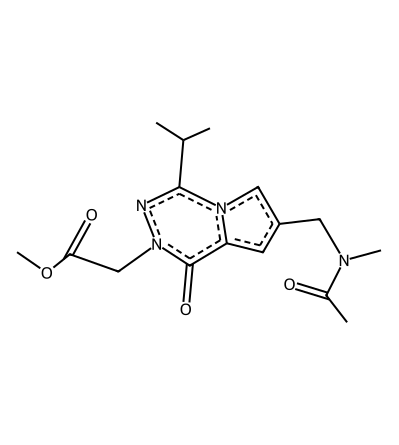 COC(=O)Cn1nc(C(C)C)n2cc(CN(C)C(C)=O)cc2c1=O